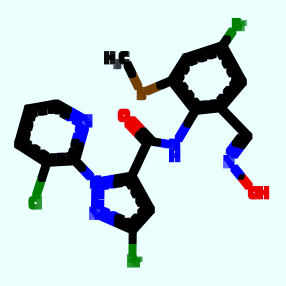 CSc1cc(Br)cc(C=NO)c1NC(=O)c1cc(Br)nn1-c1ncccc1Cl